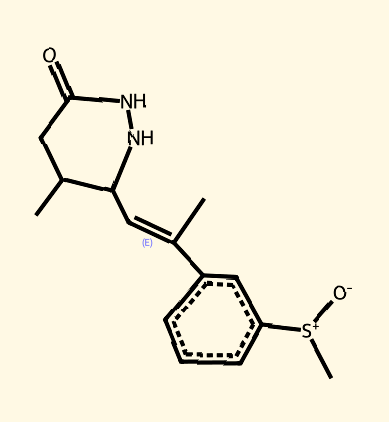 C/C(=C\C1NNC(=O)CC1C)c1cccc([S+](C)[O-])c1